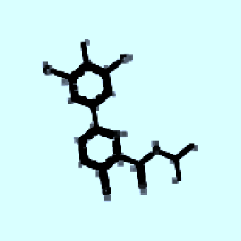 Cc1c(Cl)cc(-c2ccc(=O)n(C(=O)OC(C)C)n2)cc1Cl